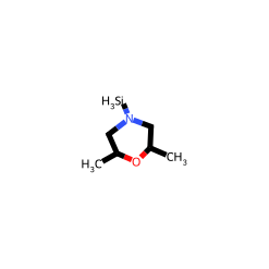 CC1CN([SiH3])CC(C)O1